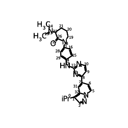 CC(C)c1cnn2ccc(-c3ccnc(Nc4ccc(N5CCCC(N(C)C)C5=O)cc4)n3)cc12